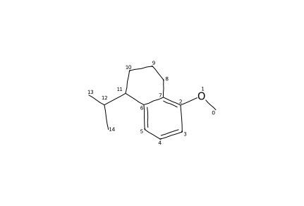 COc1cccc2c1CCCC2C(C)C